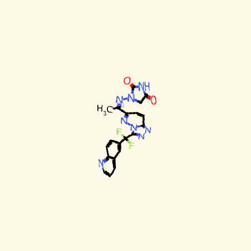 C/C(=N/N1CC(=O)NC1=O)c1ccc2nnc(C(F)(F)c3ccc4ncccc4c3)n2n1